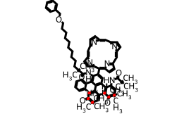 CC(C)(C)C(=O)Nc1ccccc1-c1cc(C2=C3C=CC(=N3)C=C3C=CC(=N3)C=C3C=CC(=N3)C=C3C=CC2=N3)c(NC(=O)C(C)(C)CCCCCCCCCCOCc2ccccc2)c(-c2ccccc2NC(=O)C(C)(C)C)c1-c1ccccc1NC(=O)C(C)(C)C